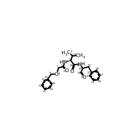 CC(C)[C@H](NC(=O)COCc1ccccc1)C(=O)NC(C=O)Cc1ccccc1